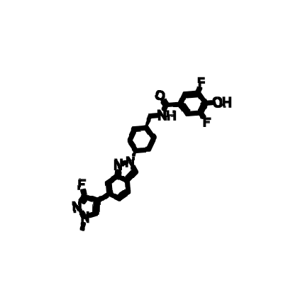 Cn1cc(-c2ccc3cn([C@H]4CC[C@H](CNC(=O)c5cc(F)c(O)c(F)c5)CC4)nc3c2)c(F)n1